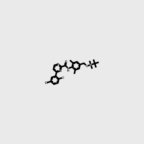 Cc1cc(CO[Si](C)(C)C(C)(C)C)cc(C)c1NC(=O)c1nccc(-c2cc(Cl)ccc2Cl)n1